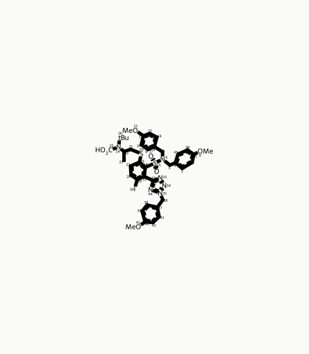 COc1ccc(CN(Cc2ccc(OC)cc2)S(=O)(=O)c2c(SCC(C)N(C(=O)O)C(C)(C)C)ccc(I)c2-c2nnn(Cc3ccc(OC)cc3)n2)cc1